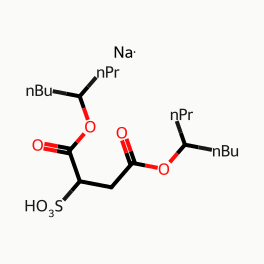 CCCCC(CCC)OC(=O)CC(C(=O)OC(CCC)CCCC)S(=O)(=O)O.[Na]